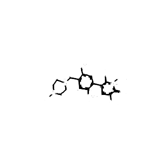 COc1cc(-c2cc(C)c(=O)n(C)c2C)c(OC)cc1CN1CCN(C)CC1